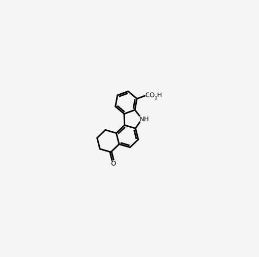 O=C1CCCc2c1ccc1[nH]c3c(C(=O)O)cccc3c21